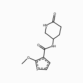 COc1sccc1C(=O)NC1CCC(=O)NC1